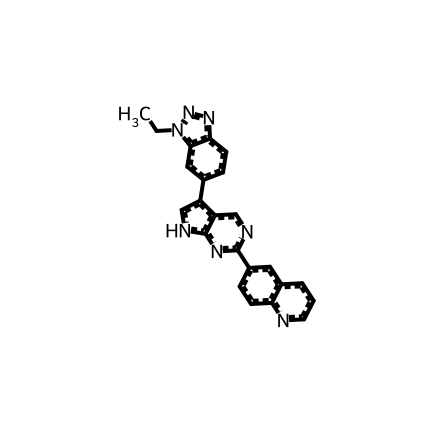 CCn1nnc2ccc(-c3c[nH]c4nc(-c5ccc6ncccc6c5)ncc34)cc21